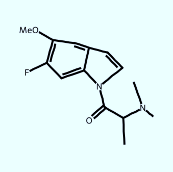 COc1cc2ccn(C(=O)C(C)N(C)C)c2cc1F